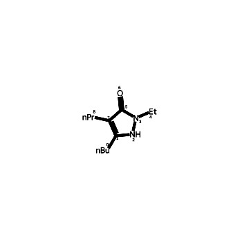 CCCCc1[nH]n(CC)c(=O)c1CCC